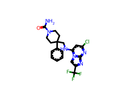 NC(=O)N1CCC(CNc2cc(Cl)nc3nc(C(F)(F)F)cn23)(c2ccccc2)CC1